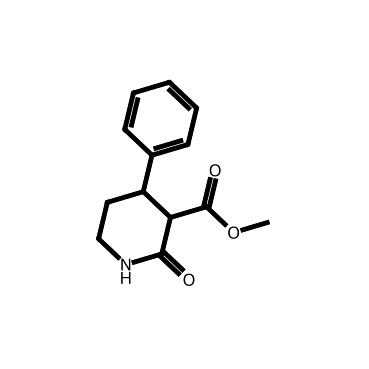 COC(=O)C1C(=O)NCCC1c1ccccc1